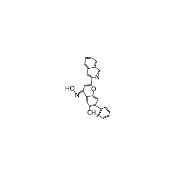 Cc1cc2/c(=N/O)cc(-c3cc4ccccc4cn3)oc2cc1-c1ccccc1